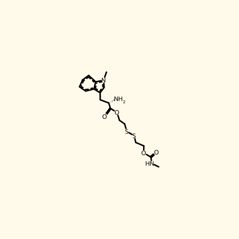 CNC(=O)OCCSSCCOC(=O)[C@@H](N)Cc1cn(C)c2ccccc12